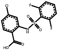 O=C(O)c1ccc(Cl)cc1NS(=O)(=O)c1c(F)cccc1F